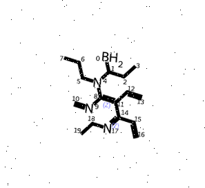 BC(CC)N(CCC)/C(N=C)=C(C=C)/C(C=C)=N\CC